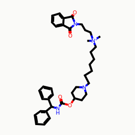 C[N+](C)(CCCCCCCN1CCC(OC(=O)NC(c2ccccc2)c2ccccc2)CC1)CCCN1C(=O)c2ccccc2C1=O